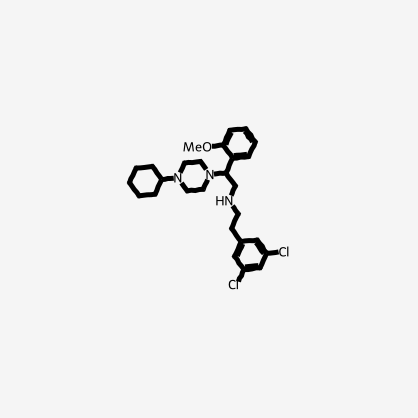 COc1ccccc1C(CNCCc1cc(Cl)cc(Cl)c1)N1CCN(C2CCCCC2)CC1